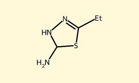 CCC1=NNC(N)S1